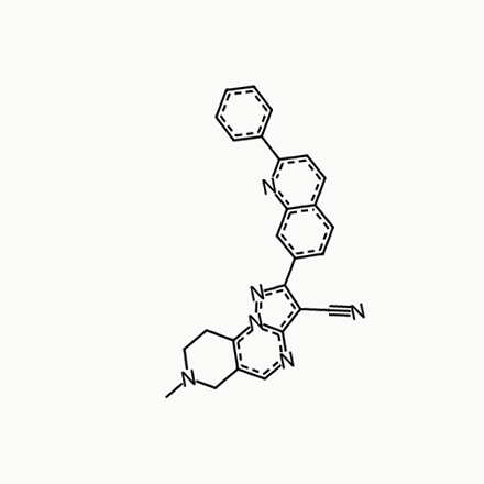 CN1CCc2c(cnc3c(C#N)c(-c4ccc5ccc(-c6ccccc6)nc5c4)nn23)C1